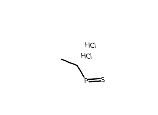 CCP=S.Cl.Cl